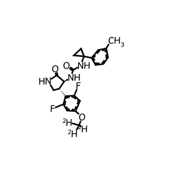 [2H]C([2H])([2H])Oc1cc(F)c([C@@H]2CNC(=O)[C@H]2NC(=O)NC2(c3cccc(C)c3)CC2)c(F)c1